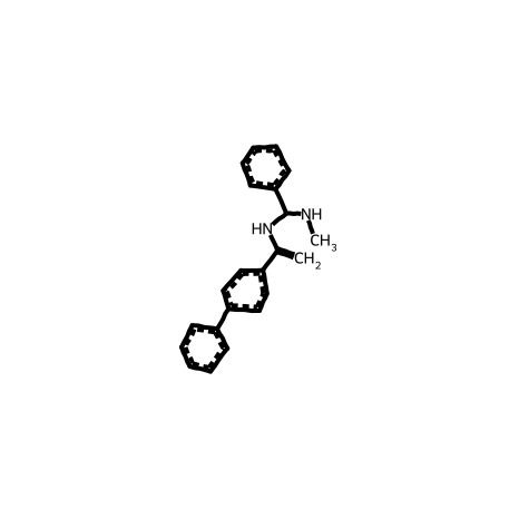 C=C(NC(NC)c1ccccc1)c1ccc(-c2ccccc2)cc1